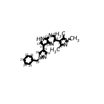 Cc1nn(C)c(C)c1-c1cnc2[nH]cc(-c3cnn(Cc4ccccc4)c3)c2n1